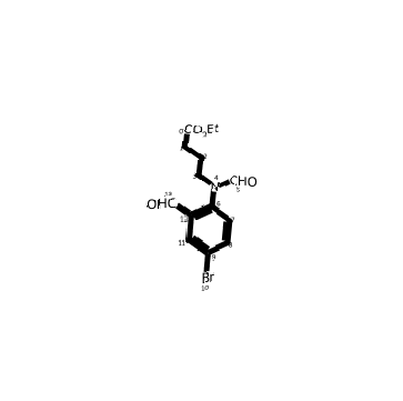 CCOC(=O)CCCN(C=O)c1ccc(Br)cc1C=O